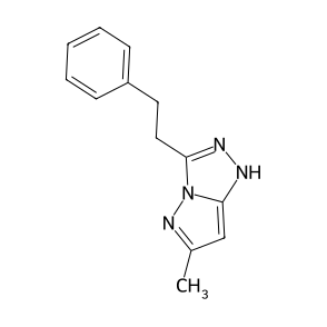 Cc1cc2[nH]nc(CCc3ccccc3)n2n1